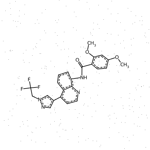 COc1ccc(C(=O)Nc2cccc3c(-c4cnn(CC(F)(F)F)c4)ccnc23)c(OC)c1